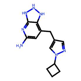 Nc1cc(Cc2cnn(C3CCC3)c2)c2c(n1)NNN2